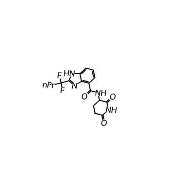 CCCC(F)(F)c1nc2c(C(=O)NC3CCC(=O)NC3=O)cccc2[nH]1